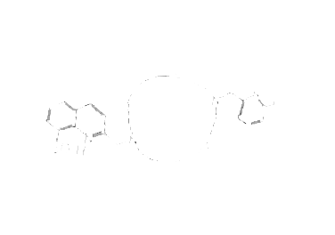 O=S(=O)(O)c1cccc2ccc(CN3CCOCCOCCN(Cc4cccc(O)n4)CCOCCOCC3)nc12